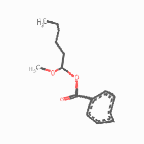 CCCCC(OC)OC(=O)c1ccccc1